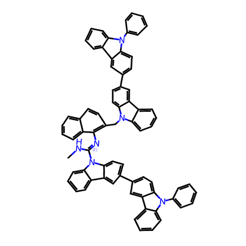 CN/C(=N\c1c(Cn2c3ccccc3c3cc(-c4ccc5c(c4)c4ccccc4n5-c4ccccc4)ccc32)ccc2ccccc12)n1c2ccccc2c2cc(-c3ccc4c(c3)c3ccccc3n4-c3ccccc3)ccc21